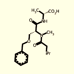 CC(C)CC(=O)N(C)[C@H](COCc1ccccc1)C(=O)N[C@H](C)C(=O)O